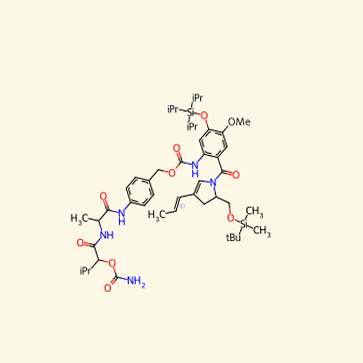 C/C=C/C1=CN(C(=O)c2cc(OC)c(O[Si](C(C)C)(C(C)C)C(C)C)cc2NC(=O)OCc2ccc(NC(=O)C(C)NC(=O)C(OC(N)=O)C(C)C)cc2)C(CO[Si](C)(C)C(C)(C)C)C1